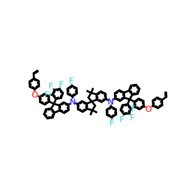 C=Cc1ccc(Oc2ccc(C3(c4ccc(F)c(F)c4F)c4ccccc4-c4ccc(N(c5ccc(F)cc5)c5ccc6c(c5)C5(CC6(C)C)CC(C)(C)c6ccc(N(c7ccc(F)cc7)c7ccc8c(c7)C(c7ccc(Oc9ccc(C=C)cc9)cc7)(c7ccc(F)c(F)c7F)c7ccccc7-8)cc65)cc43)cc2)cc1